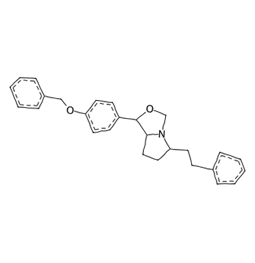 c1ccc(CCC2CCC3C(c4ccc(OCc5ccccc5)cc4)OCN23)cc1